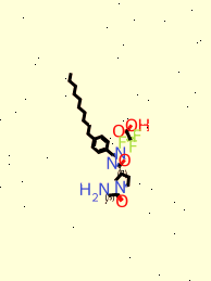 CCCCCCCCCCc1ccc(-c2noc([C@@H]3CCN(C(=O)[C@H](C)N)C3)n2)cc1.O=C(O)C(F)(F)F